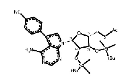 CC(=O)SC[C@H]1O[C@@H](n2cc(-c3ccc(C#N)cc3)c3c(N)ncnc32)[C@H](O[Si](C)(C)C(C)(C)C)[C@@H]1O[Si](C)(C)C(C)(C)C